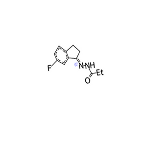 CCC(=O)N/N=C1\CCc2ccc(F)cc21